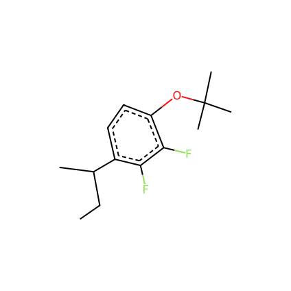 CCC(C)c1ccc(OC(C)(C)C)c(F)c1F